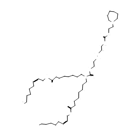 CCCCCC/C=C\COC(=O)CCCCCCCN(CCCCCCCC(=O)OC/C=C\CCCCCC)C(=O)OCCSSCCOC(=O)NCCN1CCCCCC1